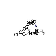 CN1C/C=C/CS(=O)(=O)NC(=O)c2ccc3c(c2)N(CCCCc2cc(Cl)ccc2CO3)C[C@@H]2CC[C@H]2C1=O